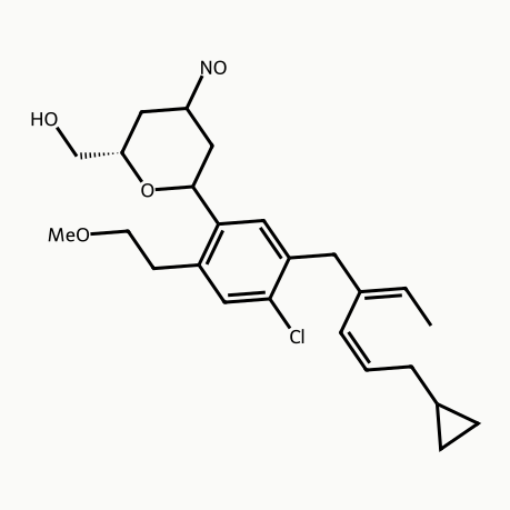 C/C=C(\C=C/CC1CC1)Cc1cc(C2CC(N=O)C[C@@H](CO)O2)c(CCOC)cc1Cl